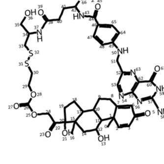 CC12C=CC(=O)C=C1CCC1C2C(O)CC2(C)C1CCC2(O)C(=O)COC(=O)OCCSSCC(CO)NC(=O)CCC(NC(=O)c1ccc(NCc2cnc3nc(N)[nH]c(=O)c3n2)cc1)C(=O)O